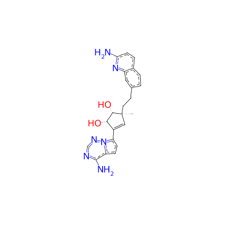 C[C@]1(CCc2ccc3ccc(N)nc3c2)C=C(c2ccc3c(N)ncnn23)[C@H](O)[C@@H]1O